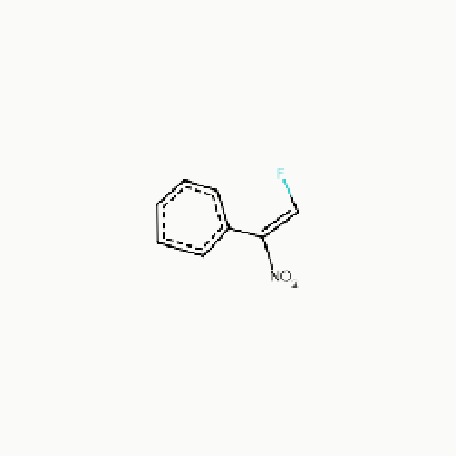 O=[N+]([O-])/C(=C/F)c1ccccc1